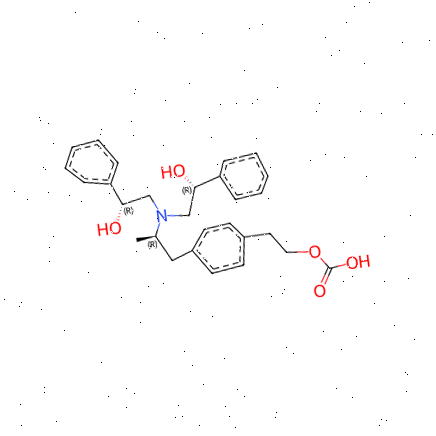 C[C@H](Cc1ccc(CCOC(=O)O)cc1)N(C[C@H](O)c1ccccc1)C[C@H](O)c1ccccc1